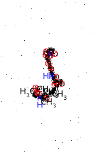 CC(=O)O[C@@H](C)/C=C\C(=O)N[C@@H]1C[C@H](C)[C@H](C/C=C(C)/C=C/[C@@H]2C[C@]3(CO3)C[C@@H](CC(=O)NCCOCCOCCC(=O)ON3C(=O)CCC3=O)O2)O[C@@H]1C